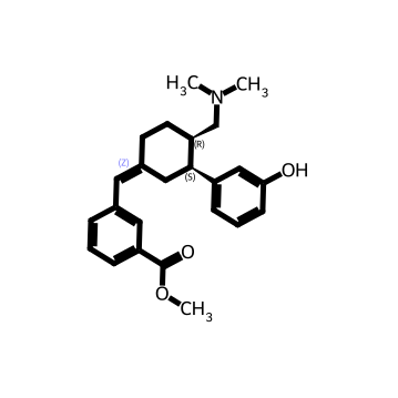 COC(=O)c1cccc(/C=C2/CC[C@@H](CN(C)C)[C@@H](c3cccc(O)c3)C2)c1